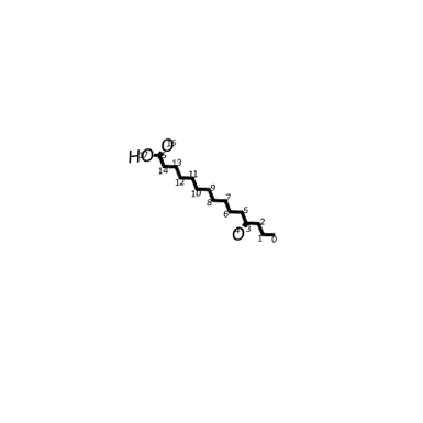 CCCC(=O)CCCCCCCCCCC(=O)O